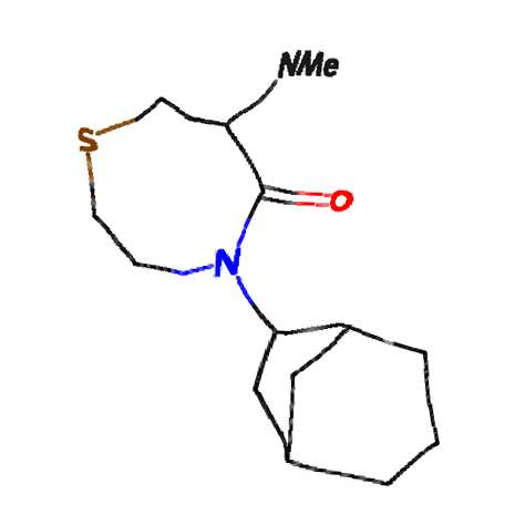 CNC1CSCCN(C2CC3CCCC2C3)C1=O